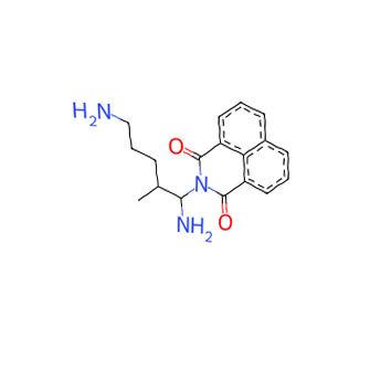 CC(CCCN)C(N)N1C(=O)c2cccc3cccc(c23)C1=O